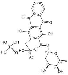 CC(=O)[C@]1(O)Cc2c(O)c3c(c(O)c2[C@@H](O[C@H]2C[C@H](N)[C@H](O)[C@H](C)O2)C1)C(=O)c1ccccc1C3=O.O=P(O)(O)O